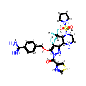 N=C(N)c1ccc(COc2c(F)c(C3NCCN(S(=O)(=O)N4CCCC4)C3C(F)(F)F)nn2C(=O)c2cscn2)cc1